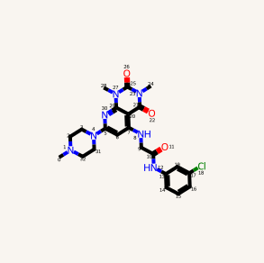 CN1CCN(c2cc(NCC(=O)Nc3cccc(Cl)c3)c3c(=O)n(C)c(=O)n(C)c3n2)CC1